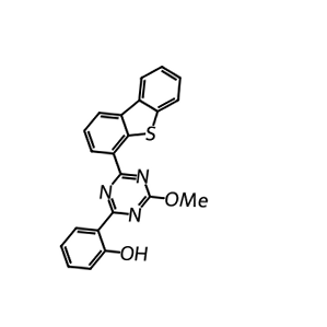 COc1nc(-c2ccccc2O)nc(-c2cccc3c2sc2ccccc23)n1